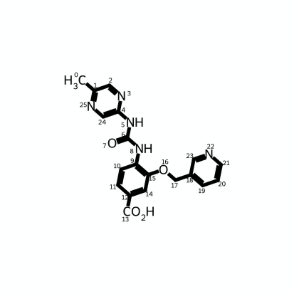 Cc1cnc(NC(=O)Nc2ccc(C(=O)O)cc2OCc2cccnc2)cn1